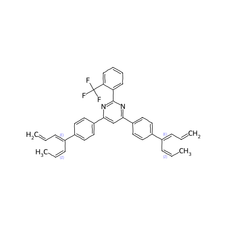 C=C/C=C(\C=C/C)c1ccc(-c2cc(-c3ccc(C(/C=C\C)=C/C=C)cc3)nc(-c3ccccc3C(F)(F)F)n2)cc1